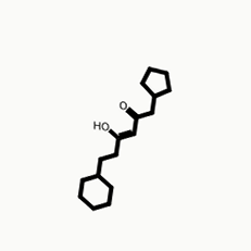 O=C(/C=C(\O)CCC1CCCCC1)CC1CCCC1